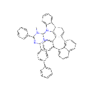 CN1C(c2ccccc2)=NC(c2ccc(-c3ccccc3)cc2)NC1N1C2=C3C(=CCC2c2ccccc21)c1cccc2cccc(c12)-c1ccccc13